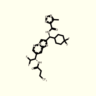 Cc1nonc1C(=O)N[C@H](c1cn2ncc([C@H](NC(=O)CCC(F)(F)F)C(F)F)cc2n1)C1CCC(F)(F)CC1